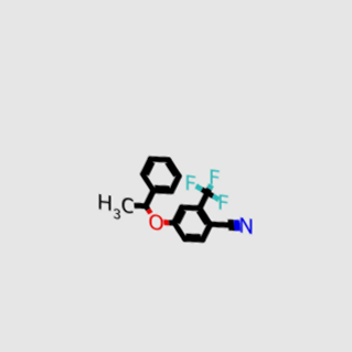 CC(Oc1ccc(C#N)c(C(F)(F)F)c1)c1ccccc1